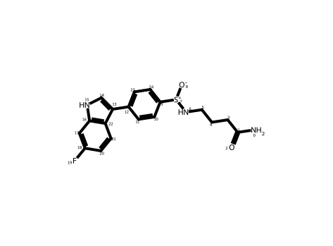 NC(=O)CCCN[S+]([O-])c1ccc(-c2c[nH]c3cc(F)ccc23)cc1